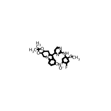 COc1cc(F)c([N+](=O)[O-])cc1Nc1nccc(-c2c3n(c4ccccc24)CC2OC(C)(C)OC2C3)n1